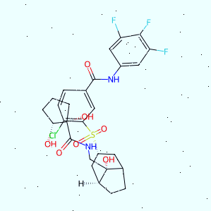 O=C(Nc1cc(F)c(F)c(F)c1)c1ccc(Cl)c(S(=O)(=O)[C@@H]2CC3CC[C@@H](C2)[C@@]3(O)CNC(=O)[C@]2(O)CCC[C@H]2O)c1